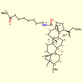 C=C(COC(C)=O)[C@@H]1CC[C@]2(C(=O)NCCCCCCCC(=O)OC)CC[C@]3(C)[C@H](CCC4[C@@]5(C)CCC(OC(C)=O)C(C)(C)[C@@H]5CC[C@]43C)[C@@H]12